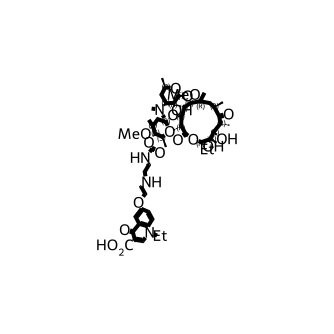 CC[C@H]1OC(=O)[C@H](C)[C@@H](O[C@H]2C[C@@](C)(OC)[C@@H](OC(=O)NCCNCCOc3ccc4c(c3)c(=O)c(C(=O)O)cn4CC)[C@H](C)O2)[C@H](C)[C@@H](O[C@@H]2O[C@H](C)C[C@H](N(C)C)[C@H]2O)[C@](C)(OC)C[C@@H](C)C(=O)[C@H](C)[C@@H](O)[C@]1(C)O